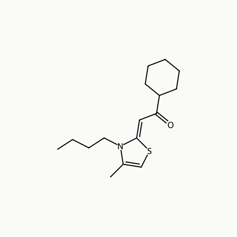 CCCCN1C(C)=CSC1=CC(=O)C1CCCCC1